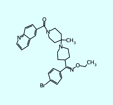 CCO/N=C(/c1ccc(Br)cc1)C1CCN(C2(C)CCN(C(=O)c3ccc4ncccc4c3)CC2)CC1